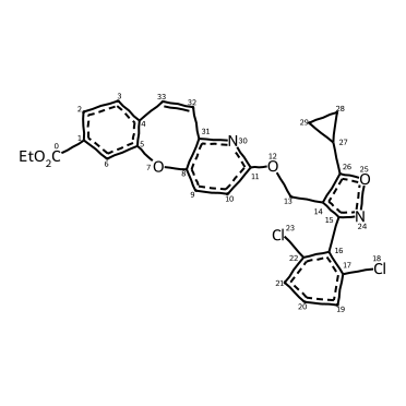 CCOC(=O)c1ccc2c(c1)Oc1ccc(OCc3c(-c4c(Cl)cccc4Cl)noc3C3CC3)nc1C=C2